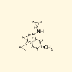 Cc1ccc(C2(C3CC3)CC2)c(CNC2CC2)c1